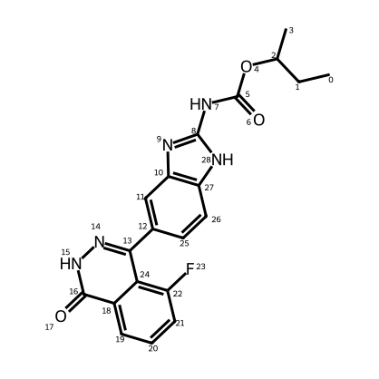 CCC(C)OC(=O)Nc1nc2cc(-c3n[nH]c(=O)c4cccc(F)c34)ccc2[nH]1